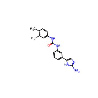 Cc1ccc(NC(=O)Nc2cccc(-c3cnc(N)[nH]3)c2)cc1C